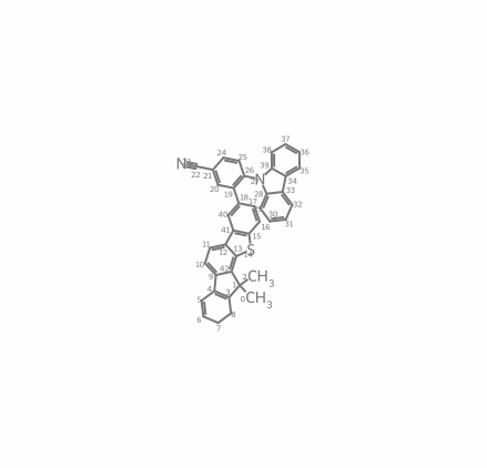 CC1(C)C2=C(C=CCC2)c2ccc3c(sc4ccc(-c5cc(C#N)ccc5-n5c6ccccc6c6ccccc65)cc43)c21